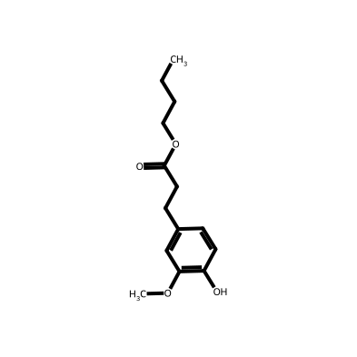 CCCCOC(=O)CCc1ccc(O)c(OC)c1